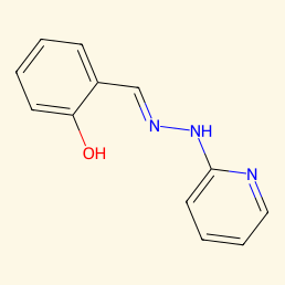 Oc1ccccc1C=NNc1ccccn1